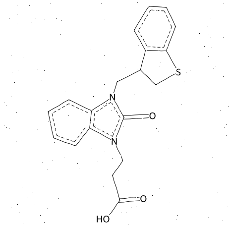 O=C(O)CCn1c(=O)n(CC2CSc3ccccc32)c2ccccc21